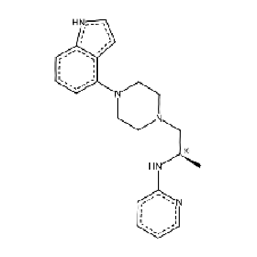 C[C@H](CN1CCN(c2cccc3[nH]ccc23)CC1)Nc1ccccn1